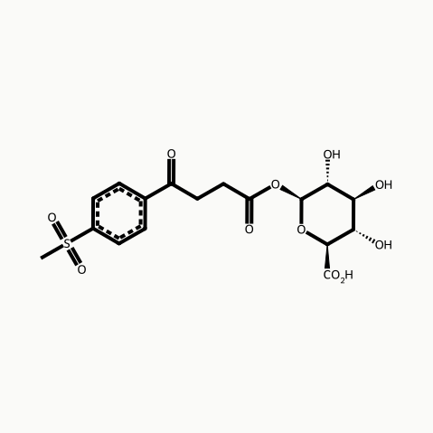 CS(=O)(=O)c1ccc(C(=O)CCC(=O)O[C@@H]2O[C@H](C(=O)O)[C@@H](O)[C@H](O)[C@H]2O)cc1